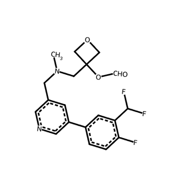 CN(Cc1cncc(-c2ccc(F)c(C(F)F)c2)c1)CC1(OC=O)COC1